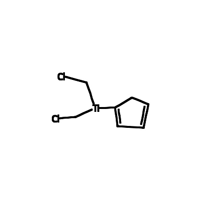 Cl[CH2][Ti]([CH2]Cl)[C]1=CC=CC1